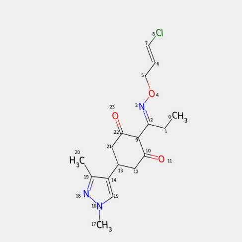 CCC(=NOCC=CCl)C1C(=O)CC(c2cn(C)nc2C)CC1=O